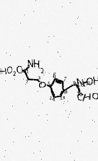 NC(CCOc1ccc(C([C]=O)=NO)cc1)C(=O)O